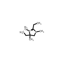 CCC1=[N+](C)C(C)(CC)CN1C